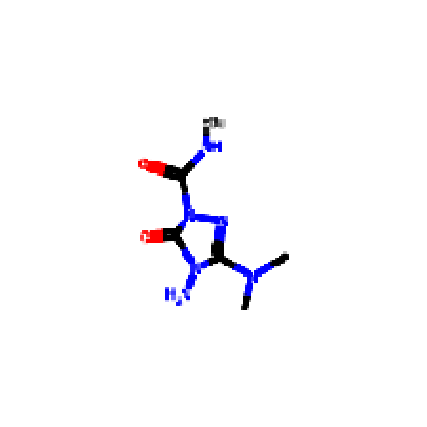 CN(C)c1nn(C(=O)NC(C)(C)C)c(=O)n1N